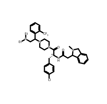 CCN(CC)CC(c1ccccc1C(F)(F)F)N1CCN(C(=O)[C@@H](Cc2ccc(Cl)cc2)NC(=O)CC2c3ccccc3CN2C)CC1